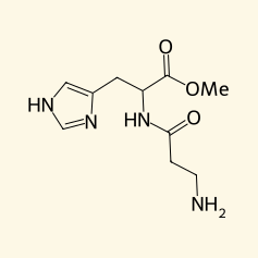 COC(=O)C(Cc1c[nH]cn1)NC(=O)CCN